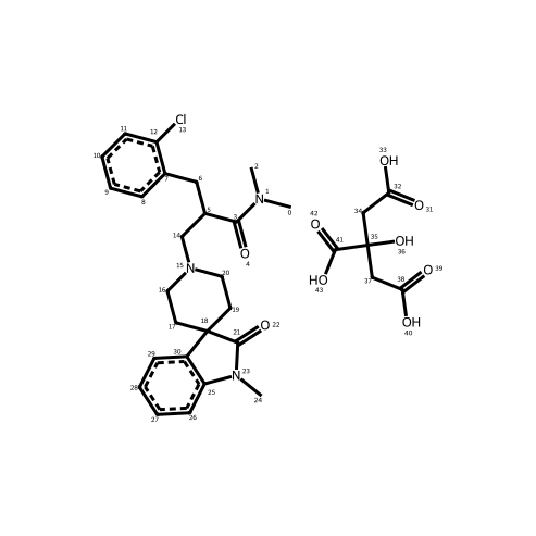 CN(C)C(=O)C(Cc1ccccc1Cl)CN1CCC2(CC1)C(=O)N(C)c1ccccc12.O=C(O)CC(O)(CC(=O)O)C(=O)O